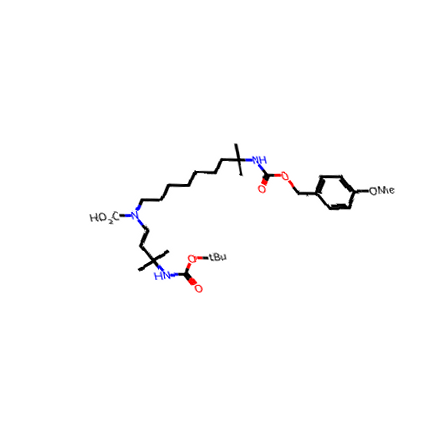 COc1ccc(COC(=O)NC(C)(C)CCCCCCCN(CCC(C)(C)NC(=O)OC(C)(C)C)C(=O)O)cc1